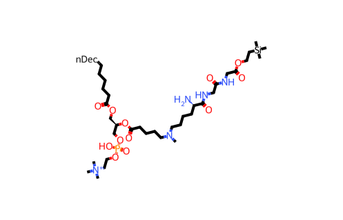 CCCCCCCCCCCCCCCC(=O)OC[C@H](COP(=O)(O)OCC[N+](C)(C)C)OC(=O)CCCCN(C)CCCC[C@H](N)C(=O)NCC(=O)NCC(=O)OCC[Si](C)(C)C